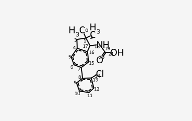 CC1(C)Cc2ccc(-c3ccccc3Cl)cc2C1NC(=O)O